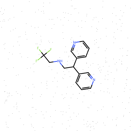 FC(F)(F)CNCC(c1cccnc1)c1cccnc1